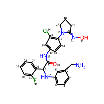 NCc1cccc(NC(C(=O)Nc2ccc(N3CCCC3=NO)c(Cl)c2)c2ccccc2F)c1